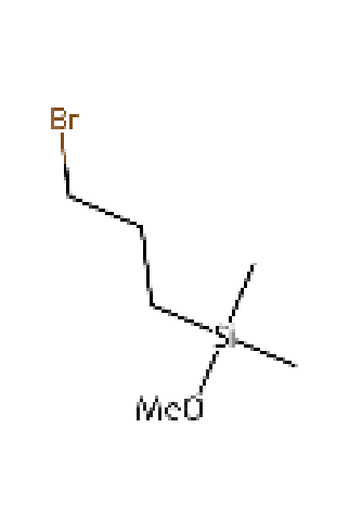 CO[Si](C)(C)CCCBr